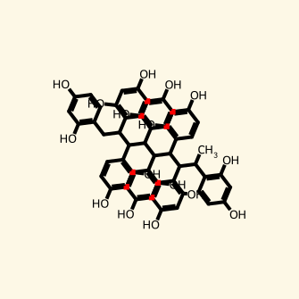 CC(c1ccc(O)cc1O)C(c1ccc(O)cc1O)C(c1ccc(O)cc1O)C(c1ccc(O)cc1O)C(c1ccc(O)cc1O)C(c1ccc(O)cc1O)C(Cc1ccc(O)cc1O)c1ccc(O)cc1O